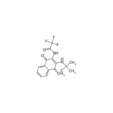 CC(C)(C)NC1=C(NC(=O)C(F)(F)F)C(=O)c2ccccc2C1=O